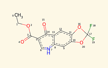 CCOC(=O)c1c[nH]c2cc3c(cc2c1=O)OC(F)(F)O3